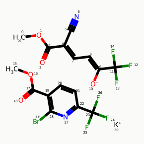 COC(=O)/C(C#N)=C/C=C(\[O-])C(F)(F)F.COC(=O)c1ccc(C(F)(F)F)nc1Br.[K+]